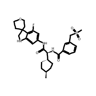 CS(=O)(=O)Cc1cccc(C(=O)N[C@H](C(=O)Nc2cc(F)c3c(c2)NCC32CCOCC2)[C@H]2CC[C@H](C)CC2)c1